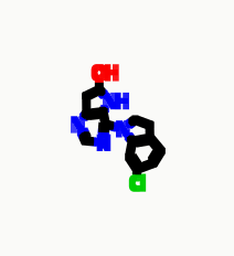 OC1Cc2ncnc(N3CCc4ccc(Cl)cc43)c2N1